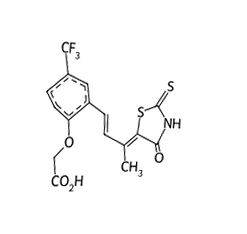 CC(C=Cc1cc(C(F)(F)F)ccc1OCC(=O)O)=C1SC(=S)NC1=O